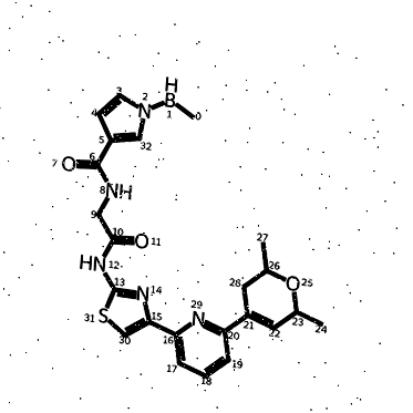 CBn1ccc(C(=O)NCC(=O)Nc2nc(-c3cccc(C4=CC(C)OC(C)C4)n3)cs2)c1